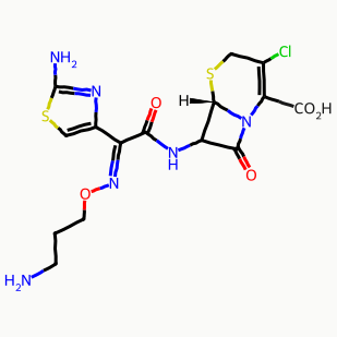 NCCCON=C(C(=O)NC1C(=O)N2C(C(=O)O)=C(Cl)CS[C@@H]12)c1csc(N)n1